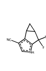 N#Cc1c[nH]c2c1C1CC1C2(F)F